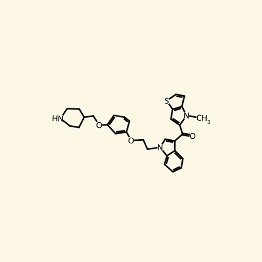 Cn1c(C(=O)c2cn(CCOc3cccc(OCC4CCNCC4)c3)c3ccccc23)cc2sccc21